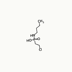 CCCCNP(=O)(O)CCCl